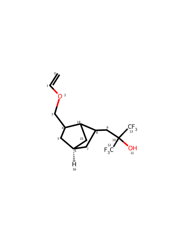 C=COCC1C[C@@H]2CC(CC(O)(C(F)(F)F)C(F)(F)F)C1C2